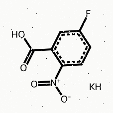 O=C(O)c1cc(F)ccc1[N+](=O)[O-].[KH]